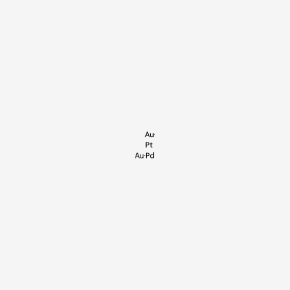 [Au].[Au].[Pd].[Pt]